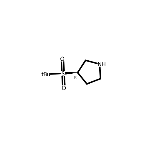 CC(C)(C)S(=O)(=O)[C@@H]1CCNC1